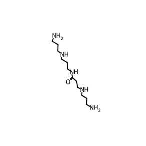 NCCCNCCCNC(=O)CCNCCCN